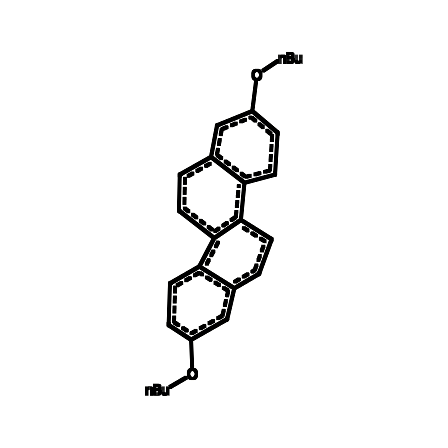 CCCCOc1ccc2c(ccc3c4ccc(OCCCC)cc4ccc23)c1